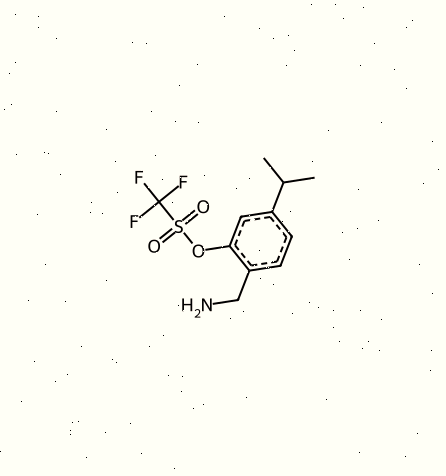 CC(C)c1ccc(CN)c(OS(=O)(=O)C(F)(F)F)c1